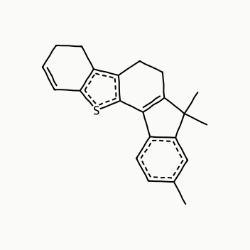 Cc1ccc2c(c1)C(C)(C)C1=C2c2sc3c(c2CC1)CCC=C3